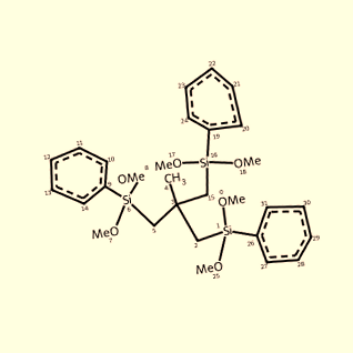 CO[Si](CC(C)(C[Si](OC)(OC)c1ccccc1)C[Si](OC)(OC)c1ccccc1)(OC)c1ccccc1